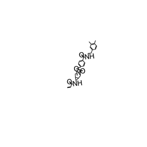 C=CC(=O)NC1C2CN(S(=O)(=O)c3ccc(C(=O)NCCc4ccc(C)c(C)c4)cc3)CC21